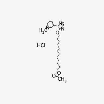 CC(=O)OCCCCCCCCCCCCOc1nsnc1C1=CCCN(C)C1.Cl